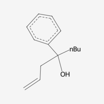 C=CCC(O)(CCCC)c1ccccc1